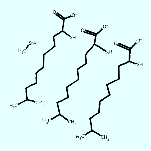 CC(C)CCCCCCCC(S)C(=O)[O-].CC(C)CCCCCCCC(S)C(=O)[O-].CC(C)CCCCCCCC(S)C(=O)[O-].[CH3][Sn+3]